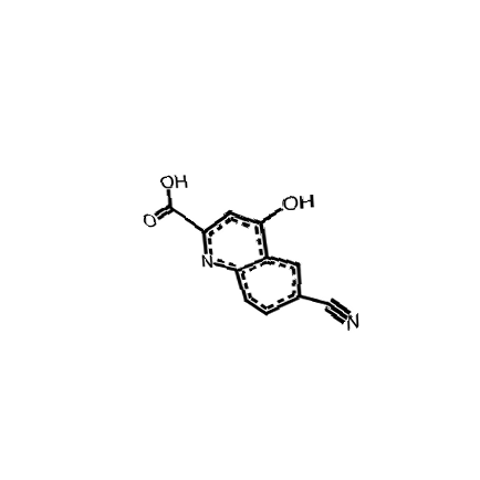 N#Cc1ccc2nc(C(=O)O)cc(O)c2c1